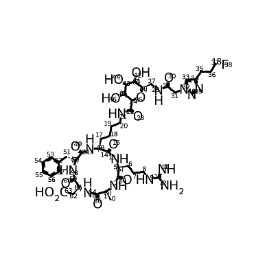 C[C@@H]1NC(=O)[C@H](CCCNC(=N)N)NC(=O)[C@H](CCCCNC(=O)C2O[C@H](CNC(=O)Cn3cc(CCC[18F])nn3)[C@H](O)C(O)[C@@H]2O)NC(=O)[C@@H](Cc2ccccc2)NC(=O)[C@H](CC(=O)O)NC1=O